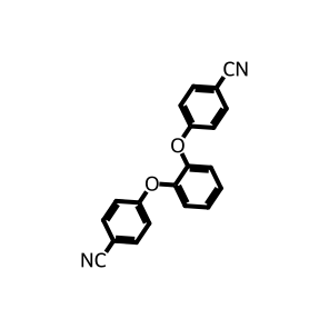 N#Cc1ccc(Oc2ccccc2Oc2ccc(C#N)cc2)cc1